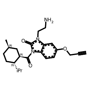 C#CCOc1ccc2c(c1)n(CCN)c(=O)n2C(=O)[C@@H]1C[C@H](C)CC[C@H]1C(C)C